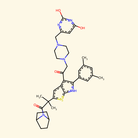 Cc1cc(C)cc(-c2[nH]c3sc(C(C)(C)C(=O)N4C5CCC4CC5)cc3c2C(=O)CN2CCN(Cc3cc(O)nc(O)n3)CC2)c1